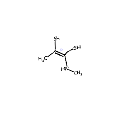 CN/C(S)=C(\C)S